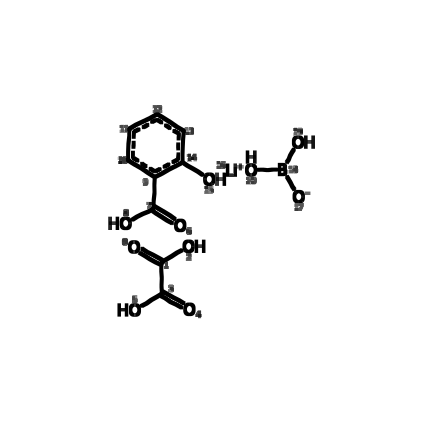 O=C(O)C(=O)O.O=C(O)c1ccccc1O.[Li+].[O-]B(O)O